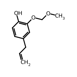 C=CCc1ccc(O)c(OCOC)c1